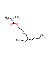 CCCCC(CC)CCCCOC(=O)N(C)C